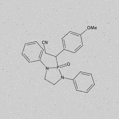 COc1ccc(C(CC#N)P2(=O)N(c3ccccc3)CCN2c2ccccc2)cc1